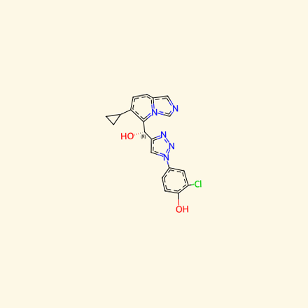 Oc1ccc(-n2cc([C@H](O)c3c(C4CC4)ccc4cncn34)nn2)cc1Cl